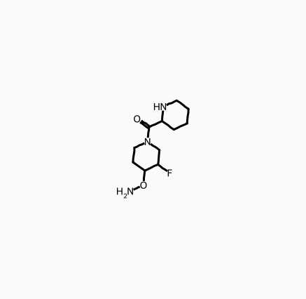 NOC1CCN(C(=O)C2CCCCN2)CC1F